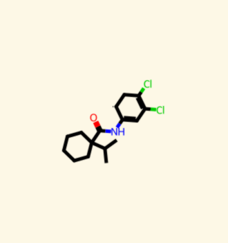 CC(C)C1(C(=O)NC2=CC(Cl)=C(Cl)C[CH]2)CCCCC1